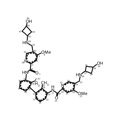 COc1cc(C(=O)Nc2cccc(-c3cccc(NC(=O)c4cc(OC)c(CNC5CC(O)C5)cn4)c3C)c2C)ncc1CNC1CC(O)C1